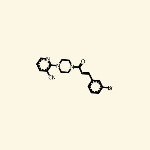 N#Cc1cccnc1N1CCN(C(=O)C=Cc2cccc(Br)c2)CC1